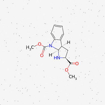 COC(=O)[C@@H]1C[C@@H]2c3ccccc3N(C(=O)OC)[C@@H]2N1